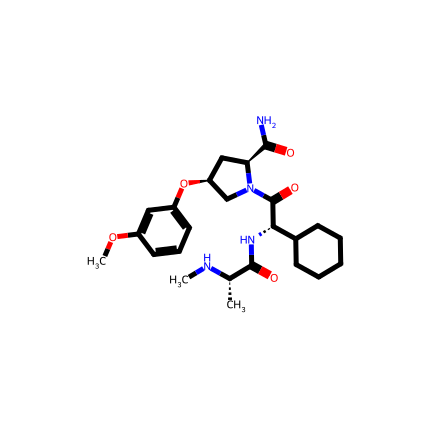 CN[C@@H](C)C(=O)N[C@H](C(=O)N1C[C@@H](Oc2cccc(OC)c2)C[C@H]1C(N)=O)C1CCCCC1